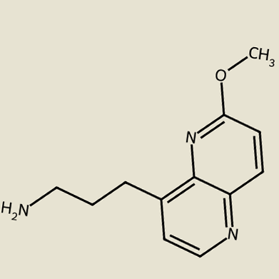 COc1ccc2nccc(CCCN)c2n1